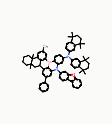 CC(C)(C)c1cc2c3c(c1)C1(C)CCCCC1(C)CC3c1cc(-c3ccccc3)cc3c1B2c1ccc(N(c2ccc4c(c2)C(C)(C)CCC4(C)C)c2ccc4c(c2)C(C)(C)CCC4(C)C)cc1N3c1ccc2c(c1)oc1ccccc12